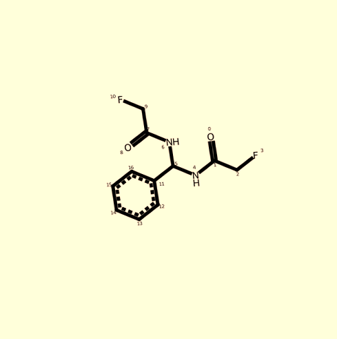 O=C(CF)NC(NC(=O)CF)c1ccccc1